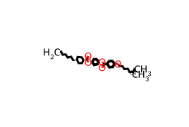 C=CCCCCC[C@H]1CC[C@H](C(=O)Oc2ccc(OC(=O)c3ccc(OCCCCC[C@@H](C)CC)cc3)cc2)CC1